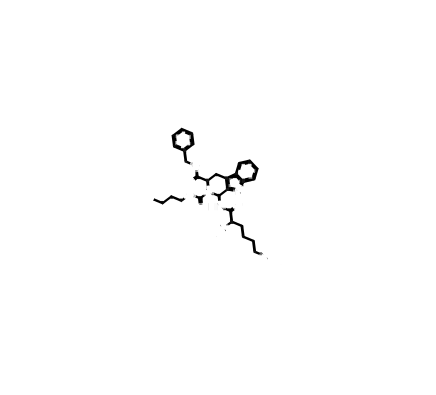 CCCCOC(=O)N1C(C(=O)OCc2ccccc2)Cc2c([nH]c3ccccc23)C1NC(=O)C(N)CCCCN